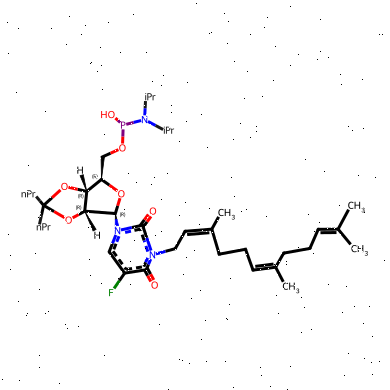 CCCC1(CCC)O[C@@H]2[C@H](O1)[C@@H](COP(O)N(C(C)C)C(C)C)O[C@H]2n1cc(F)c(=O)n(CC=C(C)CCC=C(C)CCC=C(C)C)c1=O